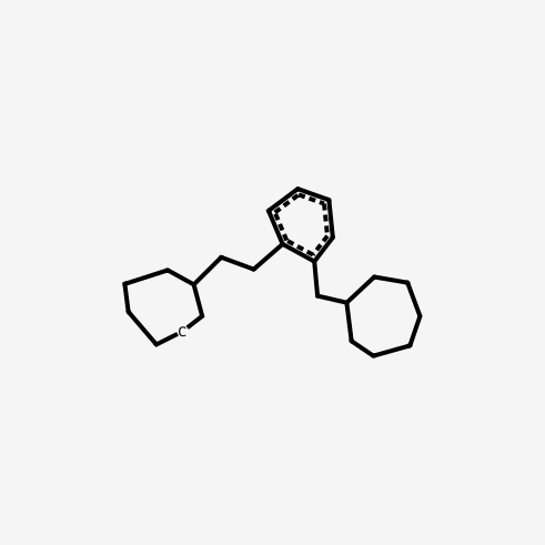 c1ccc(CC2CCCCCC2)c(CCC2CCCCCC2)c1